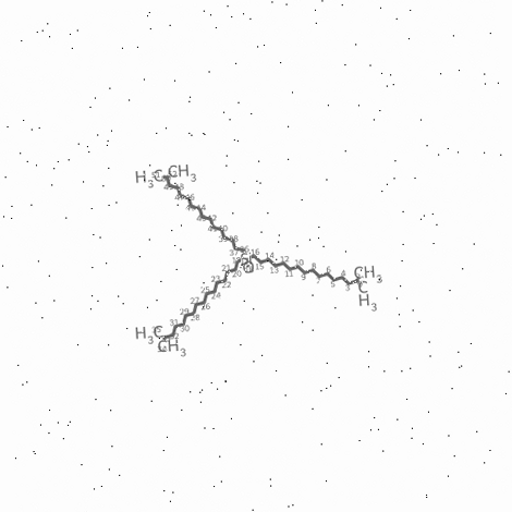 CC(C)CCCCCCCCCCCCCC[Si]([O])(CCCCCCCCCCCCCCC(C)C)CCCCCCCCCCCCCCC(C)C